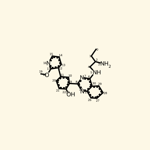 CCC(N)CNc1nc(-c2cc(-c3cccnc3OC)ccc2O)nc2ccccc12